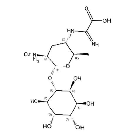 C[C@H]1O[C@H](O[C@H]2[C@H](O)[C@@H](O)[C@@H](O)[C@H](O)[C@@H]2O)[C@@H](N)C[C@@H]1NC(=N)C(=O)O.[Cu]